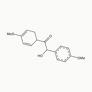 COC1=CCC(C(=O)C(O)c2ccc(OC)cc2)C=C1